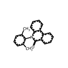 Cc1cccc(C)c1-n1c(=O)c2ccccc2c2ccccc21